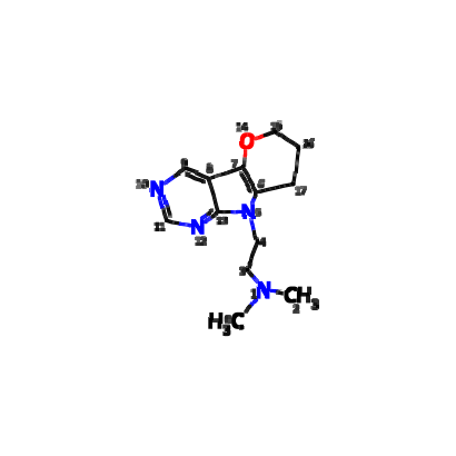 CN(C)CCn1c2c(c3cncnc31)OCCC2